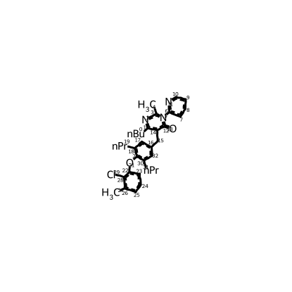 CCCCc1nc(C)n(-c2ccccn2)c(=O)c1Cc1cc(CCC)c(Oc2cccc(C)c2Cl)c(CCC)c1